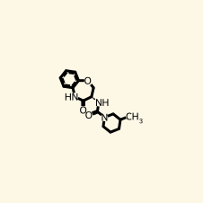 CC1CCCN(C(=O)N[C@H]2COc3ccccc3NC2=O)C1